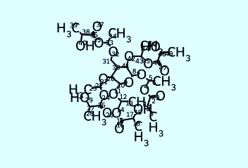 CCC(=O)OC(C)OC1OC(OC(C)OC(=O)C(C)O)C(OC(C)OC(=O)C(C)O)C(COC(C)OC(=O)C(C)O)C1OC(C)OC(=O)C(C)O